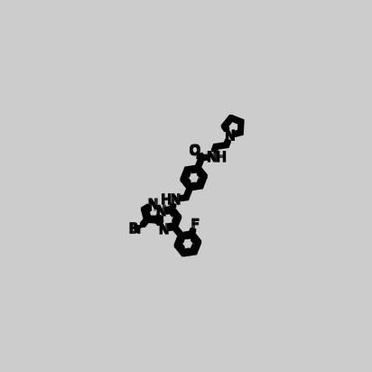 O=C(NCCN1CCCC1)c1ccc(CNc2cc(-c3ccccc3F)nc3c(Br)cnn23)cc1